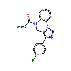 COC(=O)N1Cc2c(-c3ccc(F)cc3)ncn2-c2ccccc21